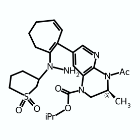 CC(=O)N1c2ncc(C3=C(N(N)C4CCCS(=O)(=O)C4)CCCC=C3)cc2N(C(=O)OC(C)C)C[C@@H]1C